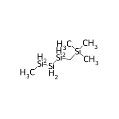 C[SiH2][SiH2][SiH2]C[Si](C)(C)C